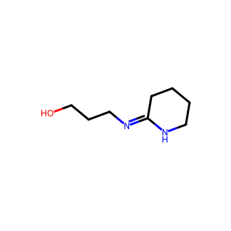 OCCCN=C1CCCCN1